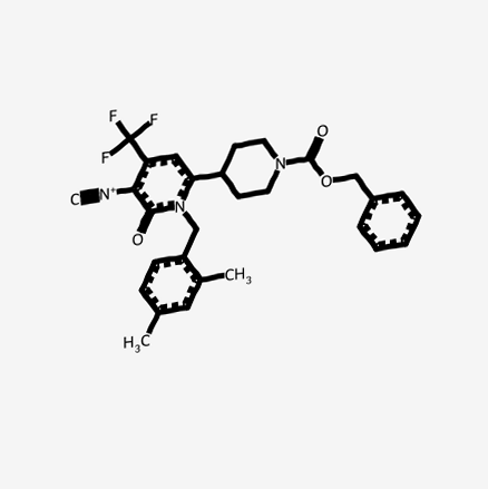 [C-]#[N+]c1c(C(F)(F)F)cc(C2CCN(C(=O)OCc3ccccc3)CC2)n(Cc2ccc(C)cc2C)c1=O